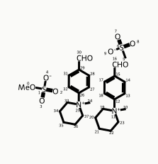 COS(=O)(=O)[O-].CS(=O)(=O)[O-].C[N+]1(c2ccc(C=O)cc2)CCCCC1.C[N+]1(c2ccc(C=O)cc2)CCCCC1